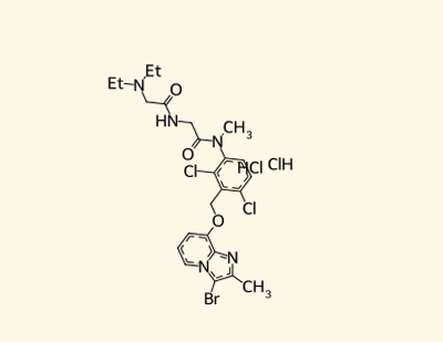 CCN(CC)CC(=O)NCC(=O)N(C)c1ccc(Cl)c(COc2cccn3c(Br)c(C)nc23)c1Cl.Cl.Cl